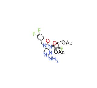 CC(=O)OC[C@H]1O[C@@H](n2c(=O)n(Cc3ccc(F)c(F)c3)c3cnc(N)nc32)[C@H](OC(C)=O)[C@@H]1F